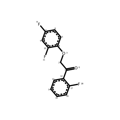 O=C(COc1ccc(F)cc1F)c1ccccc1F